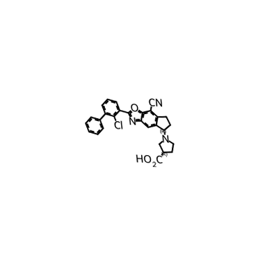 N#Cc1c2c(cc3nc(-c4cccc(-c5ccccc5)c4Cl)oc13)[C@H](N1CC[C@@H](C(=O)O)C1)CC2